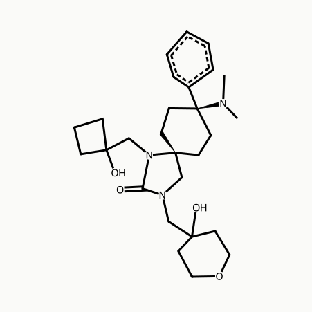 CN(C)[C@]1(c2ccccc2)CC[C@@]2(CC1)CN(CC1(O)CCOCC1)C(=O)N2CC1(O)CCC1